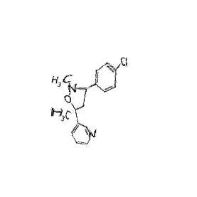 CN1O[C@](C)(c2cccnc2)C[C@@H]1c1ccc(Cl)cc1